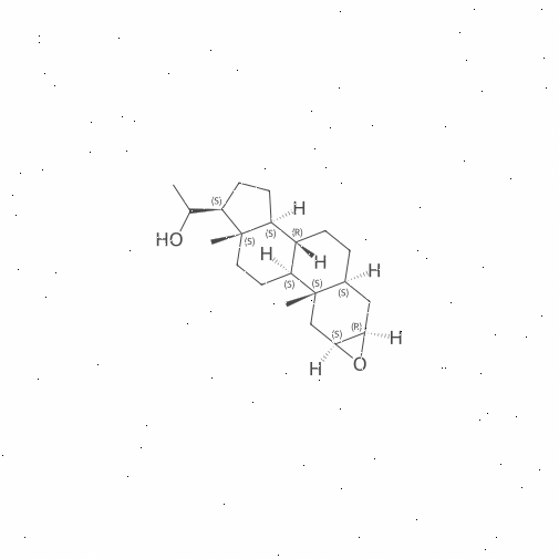 CC(O)[C@H]1CC[C@H]2[C@@H]3CC[C@H]4C[C@H]5O[C@H]5C[C@]4(C)[C@H]3CC[C@]12C